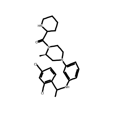 CC(Nc1cccc(N2CCN(C(=O)C3CCCCN3)[C@H](C)C2)c1)c1ccc(Cl)cc1Cl